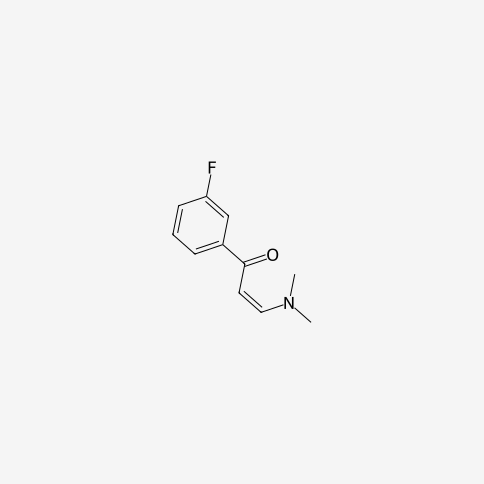 CN(C)/C=C\C(=O)c1cccc(F)c1